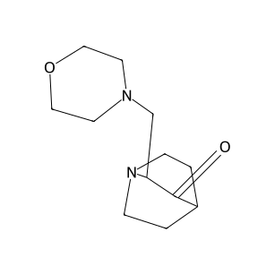 O=C1C2CCN(CC2)C1CN1CCOCC1